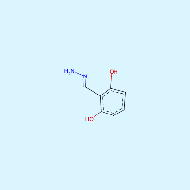 NN=Cc1c(O)cccc1O